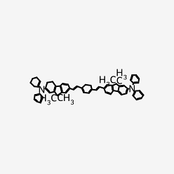 CC1(C)C2=C(CCC(N(C3=CCCCC3)c3ccccc3)=C2)c2ccc(/C=C/C3=CC=C(/C=C/c4ccc5c(c4)C(C)(C)c4cc(N(c6ccccc6)c6ccccc6)ccc4-5)CC3)cc21